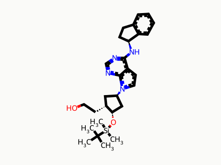 CC(C)(C)[Si](C)(C)O[C@H]1C[C@H](n2ccc3c(N[C@H]4CCc5ccccc54)ncnc32)C[C@H]1CCO